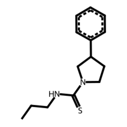 CCCNC(=S)N1CCC(c2ccccc2)C1